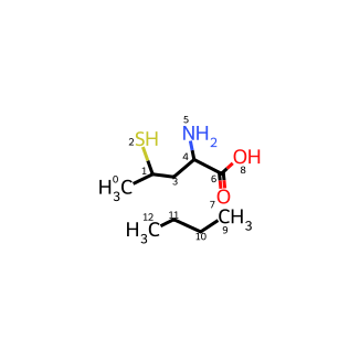 CC(S)CC(N)C(=O)O.CCCC